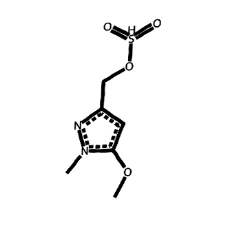 COc1cc(CO[SH](=O)=O)nn1C